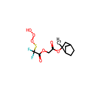 CC1(OC(=O)COC(=O)C(F)(F)SOOO)CC2CCC1C2